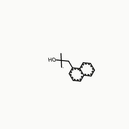 [CH2]C(C)(O)Cc1cccc2ccccc12